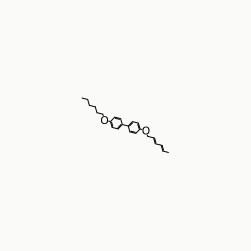 C/C=C/C=C/COc1ccc(-c2ccc(OCCCCCC)cc2)cc1